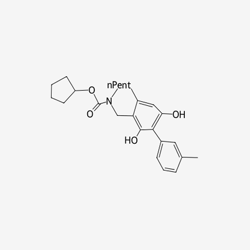 CCCCCc1cc(O)c(-c2cccc(C)c2)c(O)c1CN(C)C(=O)OC1CCCC1